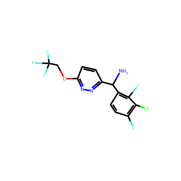 NC(c1ccc(OCC(F)(F)F)nn1)c1ccc(F)c(Cl)c1F